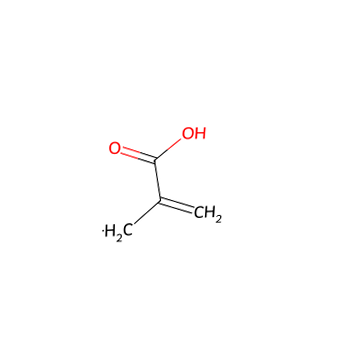 [CH2]C(=C)C(=O)O